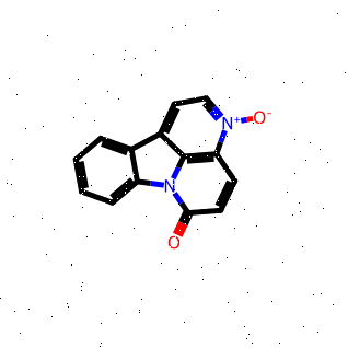 O=c1ccc2c3c(cc[n+]2[O-])c2ccccc2n13